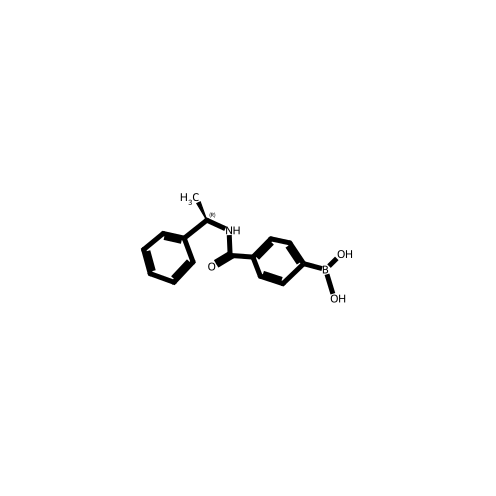 C[C@@H](NC(=O)c1ccc(B(O)O)cc1)c1ccccc1